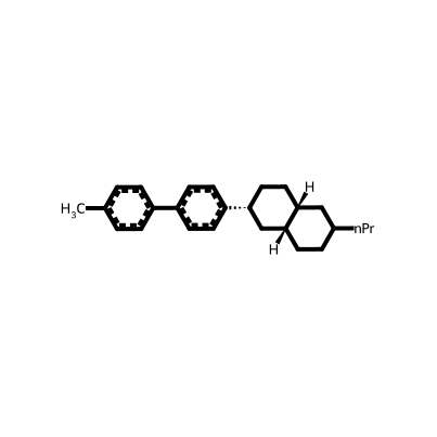 CCCC1CC[C@@H]2C[C@H](c3ccc(-c4ccc(C)cc4)cc3)CC[C@@H]2C1